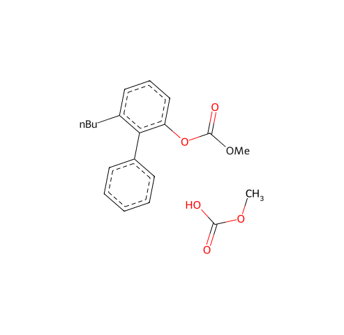 CCCCc1cccc(OC(=O)OC)c1-c1ccccc1.COC(=O)O